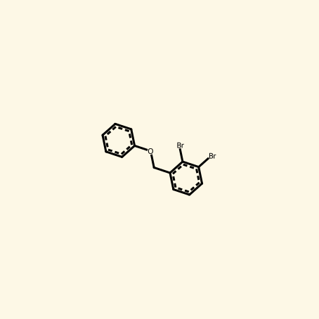 Brc1cccc(COc2ccccc2)c1Br